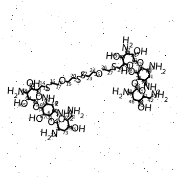 NCC1O[C@H](O[C@@H]2C(O)[C@@H](O[C@H]3OC(CSCCOCCSSCCOCCSCC4O[C@H](O[C@@H]5C(O)C(O[C@H]6OC(CN)[C@@H](O)CC6N)[C@@H](N)C[C@H]5N)C(O)[C@@H](N)[C@@H]4O)[C@@H](O)C(N)C3O)C(N)C[C@@H]2N)C(N)C[C@@H]1O